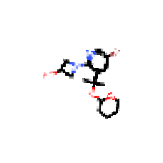 CC(C)(OC1CCCCO1)c1cc(Br)cnc1N1CC(O)C1